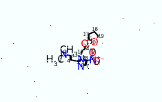 CN(C)C=Cc1ncc([N+](=O)[O-])n1CCOC1CCCO1